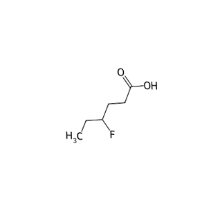 CCC(F)CCC(=O)O